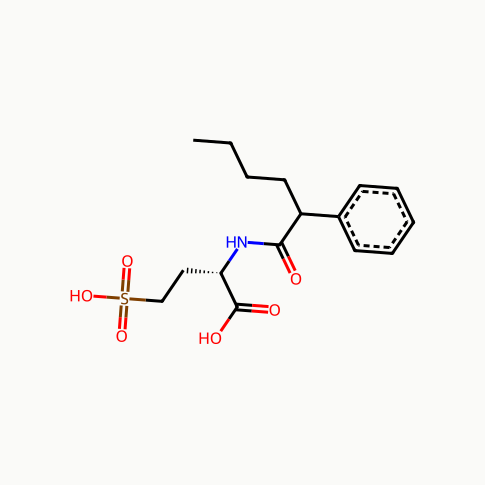 CCCCC(C(=O)N[C@@H](CCS(=O)(=O)O)C(=O)O)c1ccccc1